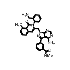 CNC(=O)c1cccc(-c2nn(Cc3cc4cccc(C)c4c(=O)n3-c3ccccc3CN)c3ncnc(N)c23)c1